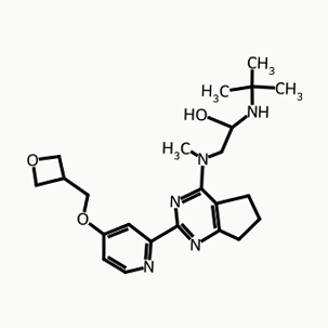 CN(CC(O)NC(C)(C)C)c1nc(-c2cc(OCC3COC3)ccn2)nc2c1CCC2